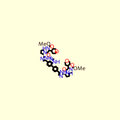 COC(=O)N[C@H](C(=O)N1[C@@H](C)CC[C@H]1c1ncc(-c2ccc(-c3ccc(-c4cnc([C@@H]5CC[C@H](C)N5C(=O)[C@@H](NC(=O)OC)C5CCOCC5)[nH]4)c4nc[nH]c34)cc2)[nH]1)C1CCOCC1